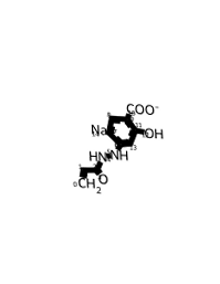 C=CC(=O)NNc1ccc(C(=O)[O-])c(O)c1.[Na+]